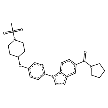 CS(=O)(=O)N1CCC(Oc2ccc(-n3ccc4cc(C(=O)N5CCCC5)ccc43)nc2)CC1